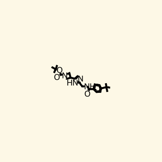 CC(C)(C)OC(=O)N1CC(c2cnc(CNC(=O)c3ccc(C(C)(C)C)cc3)[nH]2)C1